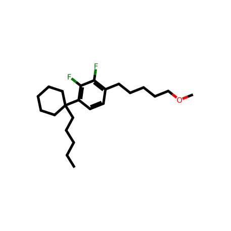 CCCCCC1(c2ccc(CCCCCOC)c(F)c2F)CCCCC1